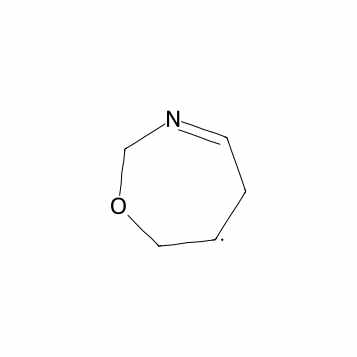 [CH]1CC=NCOC1